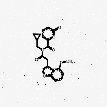 COc1cccc2occ(CC(=O)N(CC3CC3)C(=O)c3cccc(=O)o3)c12